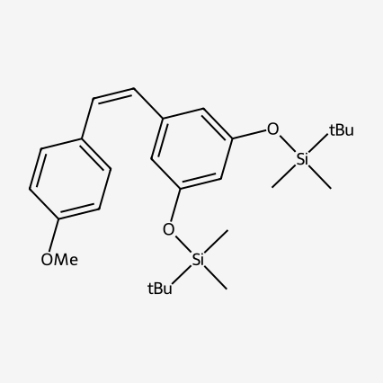 COc1ccc(/C=C\c2cc(O[Si](C)(C)C(C)(C)C)cc(O[Si](C)(C)C(C)(C)C)c2)cc1